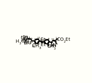 CCOC(=O)Cc1cnnc(-c2ccc(C(CC)(CC)c3ccc(CCC(O[Si](C)(C)C(C)(C)C)C(C)(C)C)c(C)c3)cc2C)c1